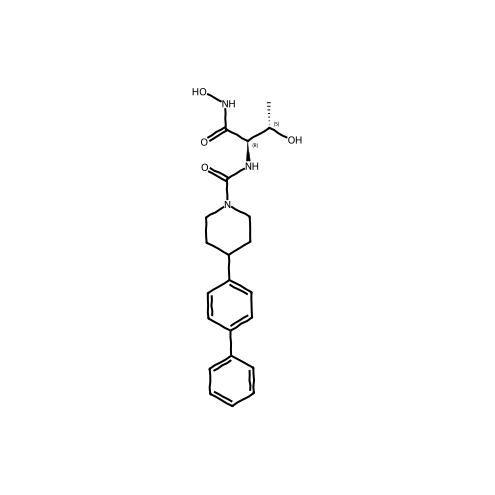 C[C@H](O)[C@@H](NC(=O)N1CCC(c2ccc(-c3ccccc3)cc2)CC1)C(=O)NO